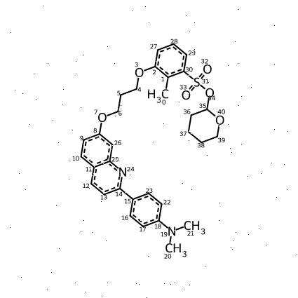 Cc1c(OCCCOc2ccc3ccc(-c4ccc(N(C)C)cc4)nc3c2)cccc1S(=O)(=O)OC1CCCCO1